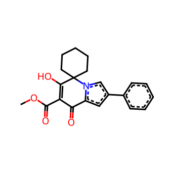 COC(=O)C1=C(O)C2(CCCCC2)n2cc(-c3ccccc3)cc2C1=O